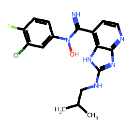 CC(C)CNc1nc2nccc(C(=N)N(O)c3ccc(F)c(Cl)c3)c2[nH]1